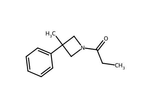 CCC(=O)N1CC(C)(c2ccccc2)C1